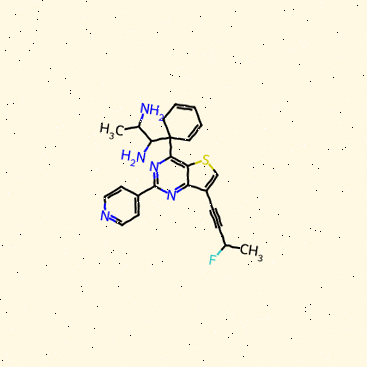 CC(F)C#Cc1csc2c(C3(C(N)C(C)N)C=CC=CC3)nc(-c3ccncc3)nc12